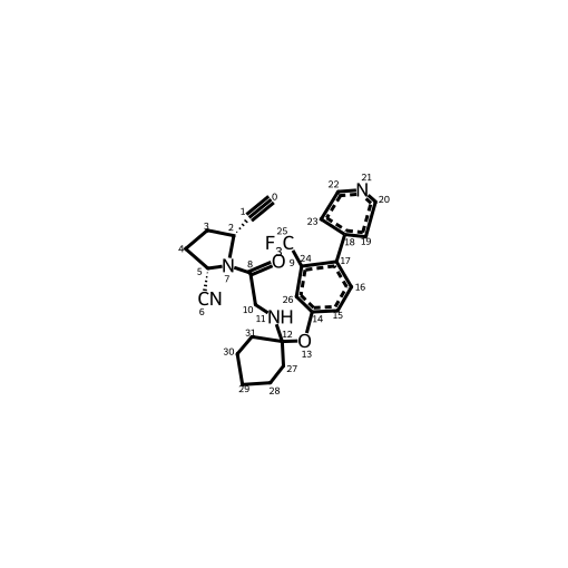 C#C[C@H]1CC[C@@H](C#N)N1C(=O)CNC1(Oc2ccc(-c3ccncc3)c(C(F)(F)F)c2)CCCCC1